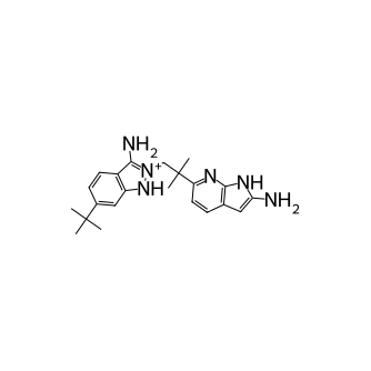 CC(C)(C)c1ccc2c(N)[n+](CC(C)(C)c3ccc4cc(N)[nH]c4n3)[nH]c2c1